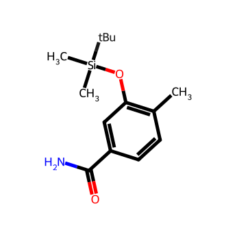 Cc1ccc(C(N)=O)cc1O[Si](C)(C)C(C)(C)C